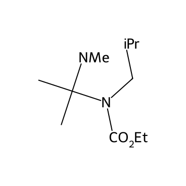 CCOC(=O)N(CC(C)C)C(C)(C)NC